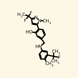 Cc1ccc(NCc2ccc(-c3cc(C(C)(F)F)nn3C)c(O)c2)cc1C(C)(C)F